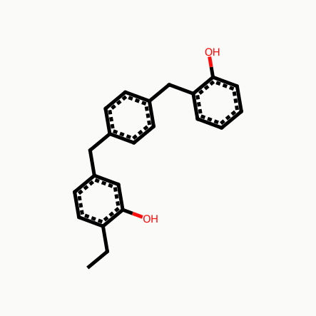 CCc1ccc(Cc2ccc(Cc3ccccc3O)cc2)cc1O